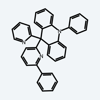 c1ccc(-c2cccc(C3(c4ccccn4)c4ccccc4N(c4ccccc4)c4ccccc43)n2)cc1